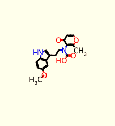 COc1ccc2[nH]cc(CCN(C(=O)O)c3c(C)occc3=O)c2c1